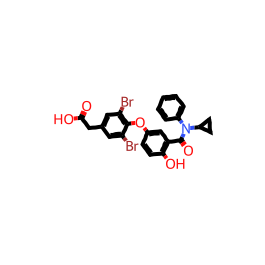 O=C(O)Cc1cc(Br)c(Oc2ccc(O)c(C(=O)N(c3ccccc3)C3CC3)c2)c(Br)c1